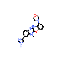 Cn1c(=O)c(Nc2ccccc2N2CCOCC2)nc2ccc(-c3c[nH]cn3)cc21